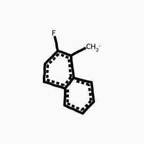 [CH2]c1c(F)ccc2ccccc12